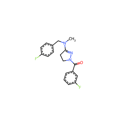 CN(Cc1ccc(F)cc1)C1=NN(C(=O)c2cccc(F)c2)CC1